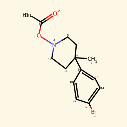 CC(C)(C)C(=O)ON1CCC(C)(c2ccc(Br)cc2)CC1